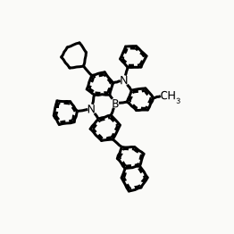 Cc1ccc2c(c1)N(c1ccccc1)c1cc(C3CCCCC3)cc3c1B2c1cc(-c2ccc4ccccc4c2)ccc1N3c1ccccc1